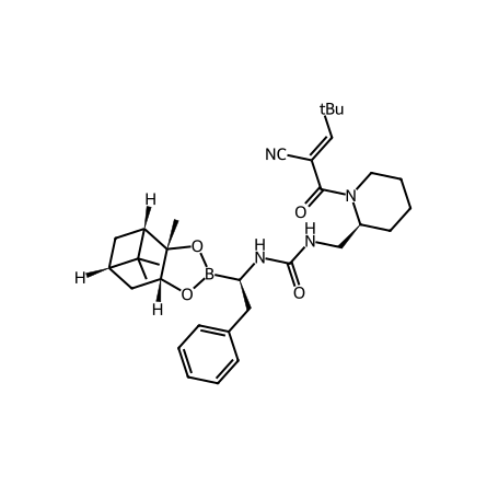 CC(C)(C)C=C(C#N)C(=O)N1CCCC[C@H]1CNC(=O)N[C@@H](Cc1ccccc1)B1O[C@@H]2C[C@@H]3C[C@@H](C3(C)C)[C@]2(C)O1